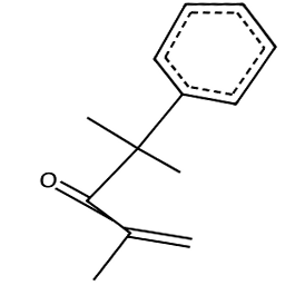 C=C(C)C(=O)C(C)(C)c1ccccc1